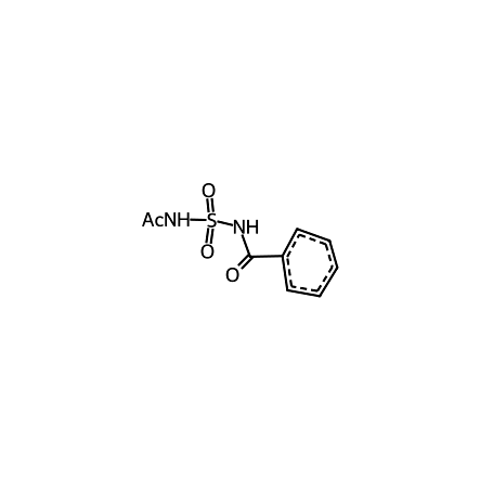 CC(=O)NS(=O)(=O)NC(=O)c1ccccc1